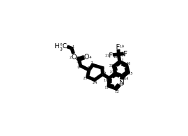 CCOC(=O)CC1CCC(c2ccnc3ccc(C(F)(F)F)cc23)CC1